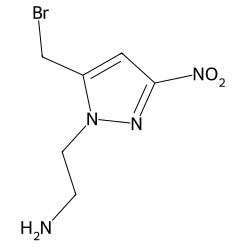 NCCn1nc([N+](=O)[O-])cc1CBr